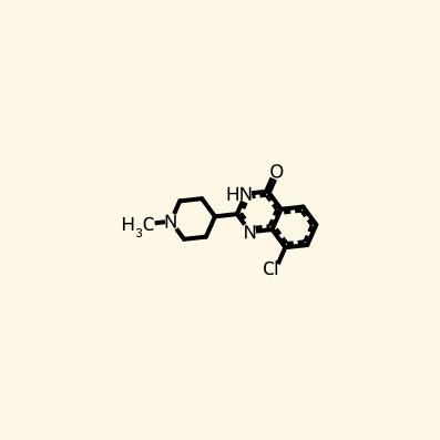 CN1CCC(c2nc3c(Cl)cccc3c(=O)[nH]2)CC1